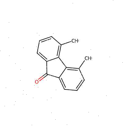 [CH]c1cccc2c1-c1c([CH])cccc1C2=O